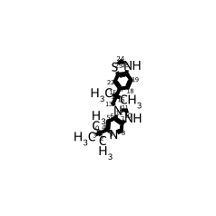 CC(C)(C)c1cc2c(cn1)NCN2CC(C)(C)c1ccc2c(c1)SCN2